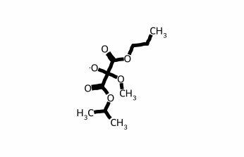 CCCOC(=O)C([O])(OC)C(=O)OC(C)C